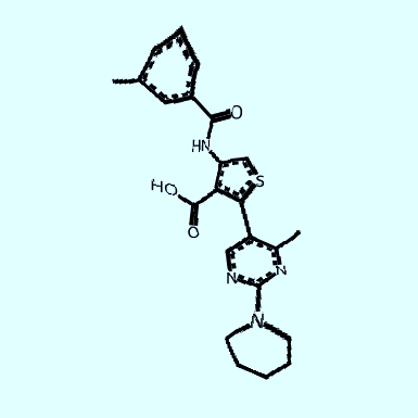 Cc1cccc(C(=O)Nc2csc(-c3cnc(N4CCCCC4)nc3C)c2C(=O)O)c1